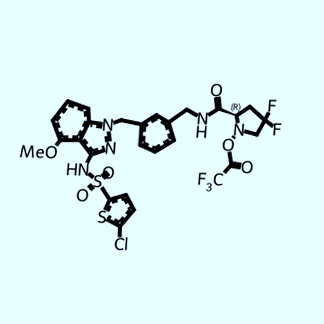 COc1cccc2c1c(NS(=O)(=O)c1ccc(Cl)s1)nn2Cc1cccc(CNC(=O)[C@H]2CC(F)(F)CN2OC(=O)C(F)(F)F)c1